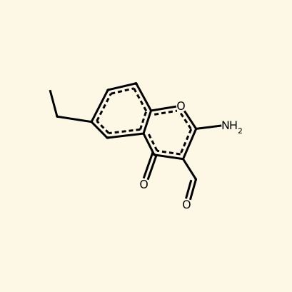 CCc1ccc2oc(N)c(C=O)c(=O)c2c1